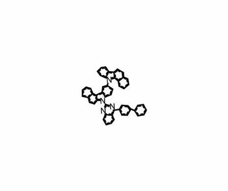 c1ccc(-c2ccc(-c3nc(-n4c5ccc(-n6c7ccccc7c7ccc8ccccc8c76)cc5c5c6ccccc6ccc54)nc4ccccc34)cc2)cc1